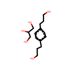 OCC(O)CO.OCCCc1ccc(CCCO)cc1